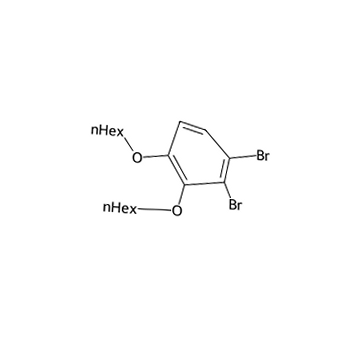 CCCCCCOc1ccc(Br)c(Br)c1OCCCCCC